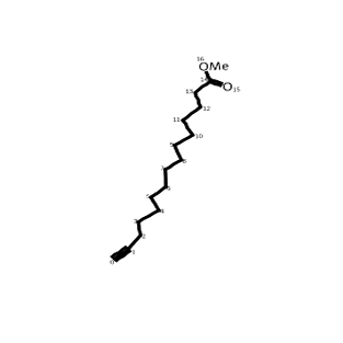 C#CCCCCCCCCCCCCC(=O)OC